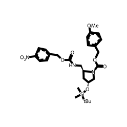 COc1ccc(COC(=O)N2C[C@H](O[Si](C)(C)C(C)(C)C)C[C@H]2CNC(=O)OCc2ccc([N+](=O)[O-])cc2)cc1